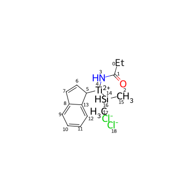 CCC(=O)[NH][Ti+2]([CH]1C=Cc2ccccc21)[SiH](C)C.[Cl-].[Cl-]